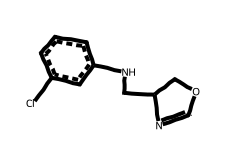 Clc1cccc(NCC2CO[C]=N2)c1